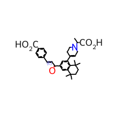 CC(C(=O)O)N1CC=C(c2cc(C(=O)/C=C/c3ccc(C(=O)O)cc3)cc3c2C(C)(C)CCC3(C)C)CC1